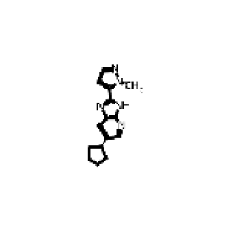 Cn1nccc1-c1nc2cc([C@H]3C[CH]CC3)cnc2[nH]1